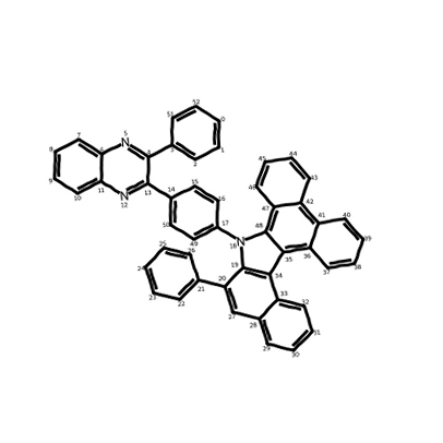 c1ccc(-c2nc3ccccc3nc2-c2ccc(-n3c4c(-c5ccccc5)cc5ccccc5c4c4c5ccccc5c5ccccc5c43)cc2)cc1